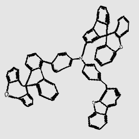 c1ccc2c(c1)Oc1ccccc1C21c2ccccc2-c2ccc(N(c3ccc(-c4cccc5c4-c4ccccc4C54c5ccccc5Oc5ccccc54)cc3)c3ccc(-c4cccc5c4oc4ccccc45)cc3)cc21